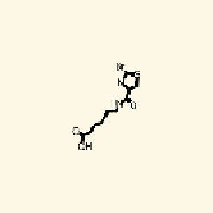 O=C(O)CCCCCNC(=O)c1csc(Br)n1